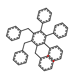 c1ccc(Cc2c(Cc3ccccc3)c(-c3ccccc3)c(-c3ccccc3)c(-c3ccccc3)c2Cc2ccccc2)cc1